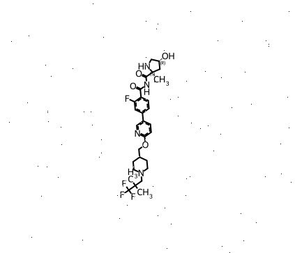 CC(C)(CN1CCC(COc2ccc(-c3ccc(C(=O)NC(=O)[C@]4(C)C[C@@H](O)CN4)c(F)c3)cn2)CC1)C(F)(F)F